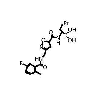 Cc1ccc(F)cc1C(=O)NCC1=NOC(C(=O)NC(CC(C)C)B(O)O)C1